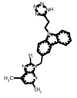 CCc1nc2c(C)cc(C)nc2n1Cc1ccc2c(c1)c1ccccc1n2CCc1nnn[nH]1